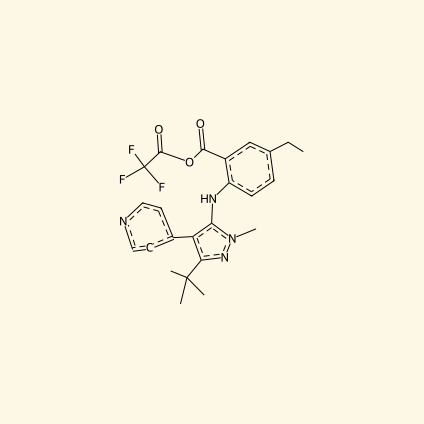 CCc1ccc(Nc2c(-c3ccncc3)c(C(C)(C)C)nn2C)c(C(=O)OC(=O)C(F)(F)F)c1